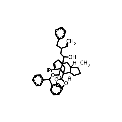 C=CC(Cc1ccccc1)CC(O)C12C[C@@H]3[C@H](C)CC[C@H]3C3(C4OCCO4)CC1C=C(C(C)C)C23C(=O)OC(c1ccccc1)c1ccccc1